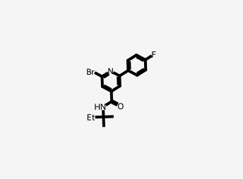 CCC(C)(C)NC(=O)c1cc(Br)nc(-c2ccc(F)cc2)c1